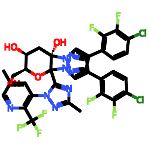 Cc1cnc(C(F)(F)F)c(-n2nc(C)nc2C2(n3cc(-c4ccc(Cl)c(F)c4F)cn3)O[C@@H](CO)[C@@H](O)C[C@@]2(O)n2cc(-c3ccc(Cl)c(F)c3F)cn2)c1